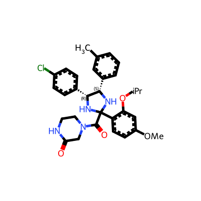 COc1ccc(C2(C(=O)N3CCNC(=O)C3)N[C@H](c3ccc(Cl)cc3)[C@H](c3cccc(C)c3)N2)c(OC(C)C)c1